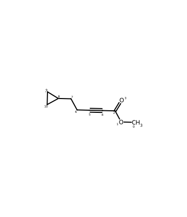 COC(=O)C#CCCC1[CH]C1